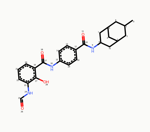 CC1CC2CC(C1)CC(NC(=O)c1ccc(NC(=O)c3cccc(NC=O)c3O)cc1)C2